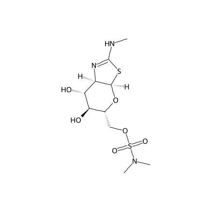 CNC1=N[C@@H]2[C@@H](O)[C@H](O)[C@@H](COS(=O)(=O)N(C)C)O[C@@H]2S1